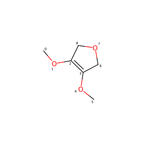 COC1=C(OC)COC1